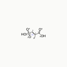 C/C(=C\S(=O)(=O)O)C(=O)O